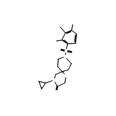 Cc1c(Br)ccc(S(=O)(=O)N2CCC3(CC2)CN(C2CC2)C(=O)CO3)c1C